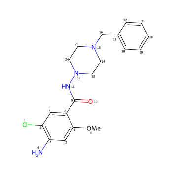 COc1cc(N)c(Cl)cc1C(=O)NN1CCN(Cc2ccccc2)CC1